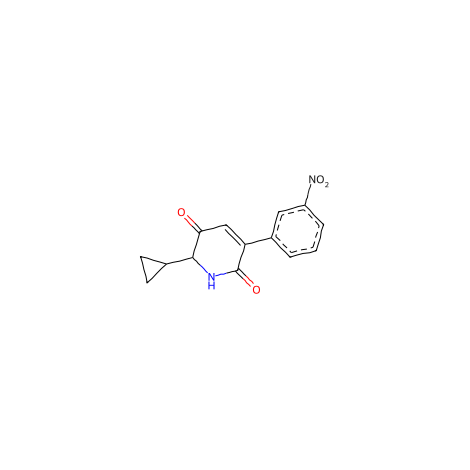 O=C1NC(C2CC2)C(=O)C=C1c1cccc([N+](=O)[O-])c1